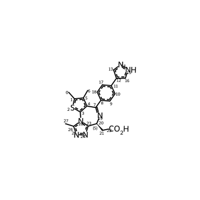 Cc1sc2c(c1C)C(c1ccc(-c3cn[nH]c3)cc1)=N[C@@H](CC(=O)O)c1nnc(C)n1-2